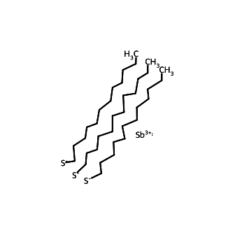 CCCCCCCCCCCC[S-].CCCCCCCCCCCC[S-].CCCCCCCCCCCC[S-].[Sb+3]